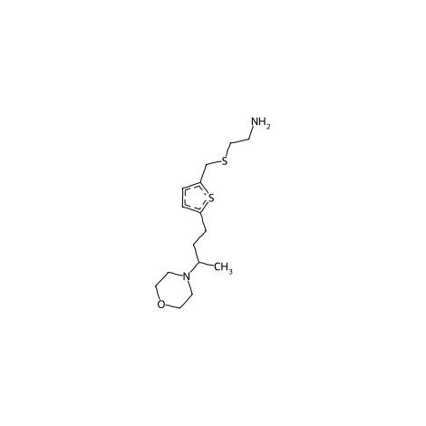 CC(CCc1ccc(CSCCN)s1)N1CCOCC1